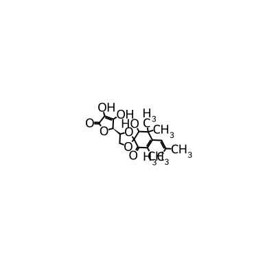 CC(C)=CC1=C(C)C(=O)C2(OCC([C@H]3OC(=O)C(O)=C3O)O2)C(O)C1(C)C